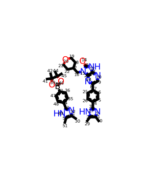 Cc1nc(-c2ccc(-c3cnc4[nH]c(=O)n(CC5CCOCC5)c4n3)cc2)[nH]c1C.Cc1nc(-c2ccc(B3OC(C)(C)C(C)(C)O3)cc2)[nH]c1C